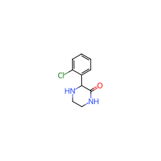 O=C1NCCNC1c1ccccc1Cl